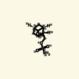 CC1(C)[C@H]2CC[C@@H](COS(N)(=O)=O)[C@@H]1C2